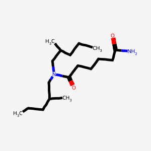 CCCC(C)CN(CC(C)CCC)C(=O)CCCCC(N)=O